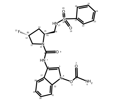 NC(=O)On1cc(NC(=O)N2C[C@H](F)C[C@H]2CNS(=O)(=O)c2ccccc2)c2ccccc21